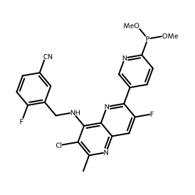 COP(OC)c1ccc(-c2nc3c(NCc4cc(C#N)ccc4F)c(Cl)c(C)nc3cc2F)cn1